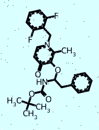 Cc1c(OC(Cc2ccccc2)NC(=O)OC(C)(C)C)c(=O)ccn1Cc1c(F)cccc1F